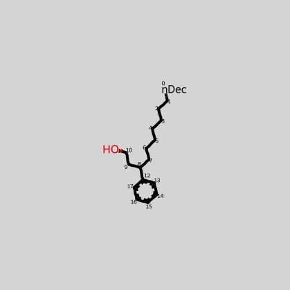 CCCCCCCCCCCCCCCCCC(CCO)c1ccccc1